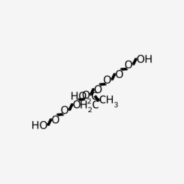 C=C(C)C(=O)O.OCCOCCOCCOCCOCCOCCOCCOCCOCCO